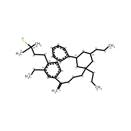 C=C(CCCC1(CCC)CC(CCC)CC(c2ccccc2)C1)c1ccc(CCC(C)(C)F)c(CC)c1